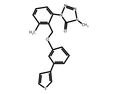 Cc1cccc(-n2nnn(C)c2=O)c1COc1cccc(-c2ccsc2)c1